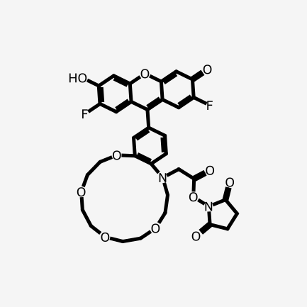 O=C(CN1CCOCCOCCOCCOc2cc(-c3c4cc(F)c(=O)cc-4oc4cc(O)c(F)cc34)ccc21)ON1C(=O)CCC1=O